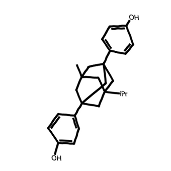 CC(C)C12CC3(C)CC(c4ccc(O)cc4)(CC(c4ccc(O)cc4)(C3)C1)C2